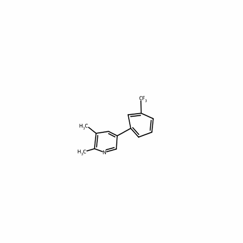 Cc1cc(-c2cccc(C(F)(F)F)c2)cnc1C